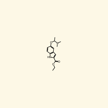 CCOC(=O)c1cc2cc(OC(C)N(C)C)ccc2[nH]1